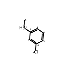 CBc1cccc(Cl)c1